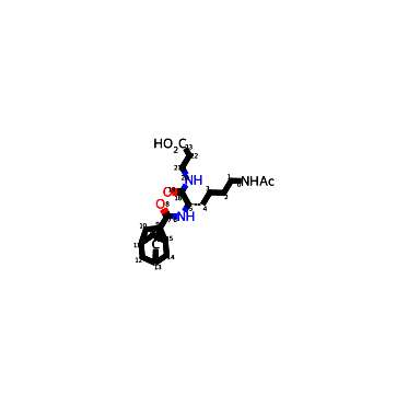 CC(=O)NCCCC[C@H](NC(=O)C12CC3CC(CC1C3)C2)C(=O)NCCC(=O)O